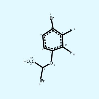 CC(C)C(Oc1ccc(Br)c(F)c1F)C(=O)O